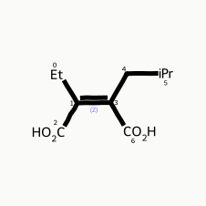 CC/C(C(=O)O)=C(\CC(C)C)C(=O)O